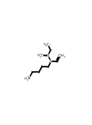 C=CN(CCCCN)N(C)CC